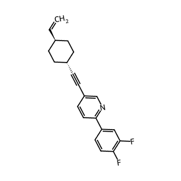 C=C[C@H]1CC[C@H](C#Cc2ccc(-c3ccc(F)c(F)c3)nc2)CC1